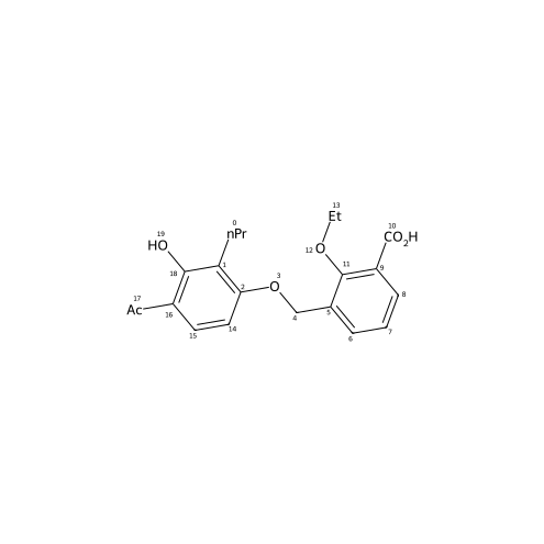 CCCc1c(OCc2cccc(C(=O)O)c2OCC)ccc(C(C)=O)c1O